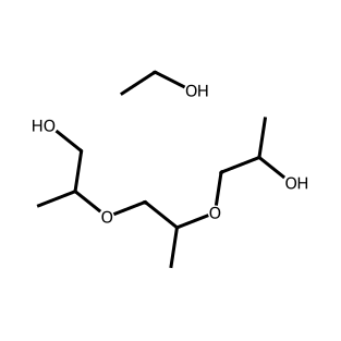 CC(O)COC(C)COC(C)CO.CCO